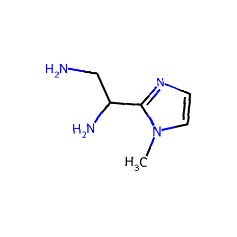 Cn1ccnc1C(N)CN